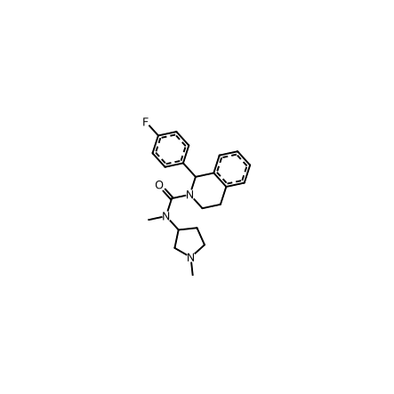 CN1CCC(N(C)C(=O)N2CCc3ccccc3C2c2ccc(F)cc2)C1